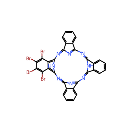 Brc1c(Br)c(Br)c2c3nc4nc(nc5[nH]c(nc6nc(nc([nH]3)c2c1Br)-c1ccccc1-6)c1ccccc51)-c1ccccc1-4